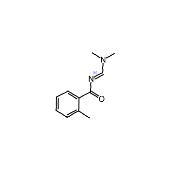 Cc1ccccc1C(=O)/N=C/N(C)C